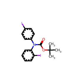 CC(C)(C)OC(=O)N(c1ccc(I)cc1)c1ccccc1I